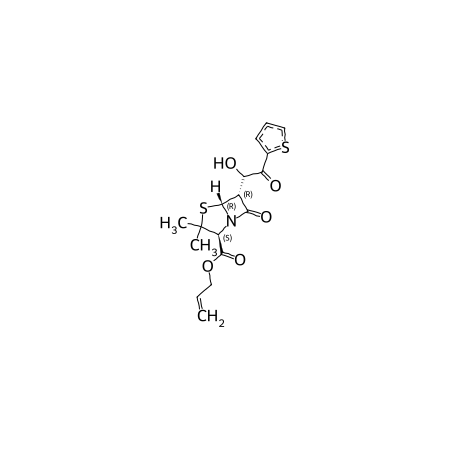 C=CCOC(=O)[C@@H]1N2C(=O)[C@@H](C(O)C(=O)c3cccs3)[C@H]2SC1(C)C